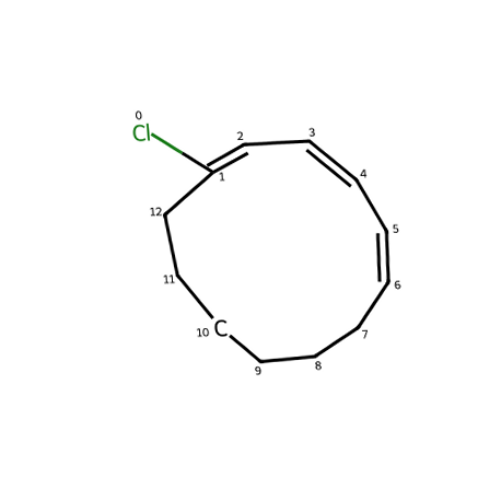 ClC1=CC=CC=CCCCCCC1